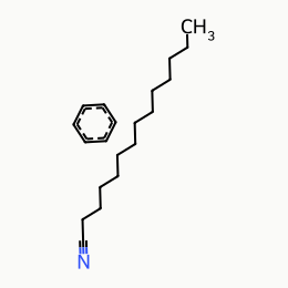 CCCCCCCCCCCCCC#N.c1ccccc1